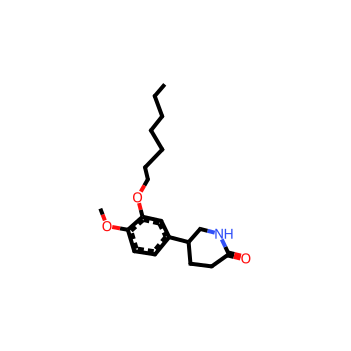 CCCCCCCOc1cc(C2CCC(=O)NC2)ccc1OC